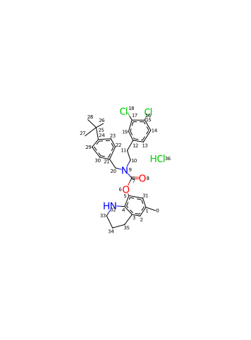 Cc1cc2c(c(OC(=O)N(CCc3ccc(Cl)c(Cl)c3)Cc3ccc(C(C)(C)C)cc3)c1)NCCC2.Cl